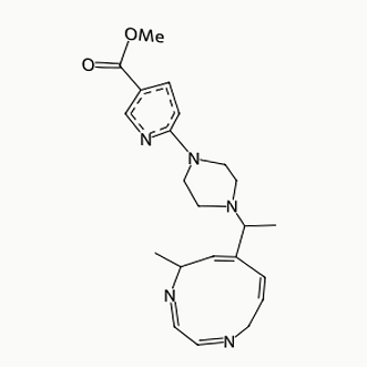 COC(=O)c1ccc(N2CCN(C(C)C3=C/C(C)/N=C\C=N/C/C=C\3)CC2)nc1